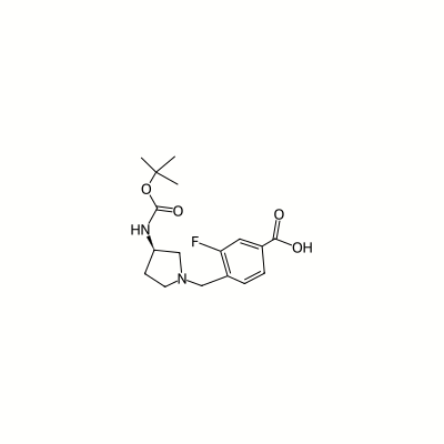 CC(C)(C)OC(=O)N[C@@H]1CCN(Cc2ccc(C(=O)O)cc2F)C1